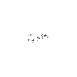 O.[CaH2].[Cl-].[Na+]